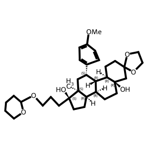 COc1ccc([C@H]2C[C@@]3(C)[C@H](CC[C@]3(O)CCCOC3CCCCO3)[C@@H]3CC[C@@]4(O)CC5(CC[C@@H]4[C@H]32)OCCO5)cc1